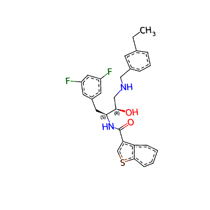 CCc1cccc(CNC[C@@H](O)[C@H](Cc2cc(F)cc(F)c2)NC(=O)c2csc3ccccc23)c1